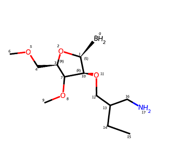 B[C@@H]1O[C@H](COC)C(OC)[C@@H]1OCC(CC)CN